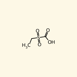 CCS(=O)(=O)C(=O)O